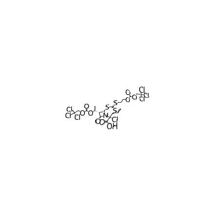 C=CCC(Cl)(C(=O)O)N1C(=O)[C@H](C(C)OC(=O)OCC(Cl)(Cl)Cl)[C@H]1SC(=S)SCCOC(=O)OCC(Cl)(Cl)Cl